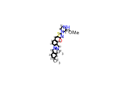 COC[C@@H]1CN(C2=NC(=O)C(=Cc3ccc4c(cnn4Cc4ccc(C(F)(F)F)cc4C(F)(F)F)c3)S2)CCN1